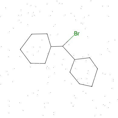 BrC(C1CCCCC1)C1CCCCC1